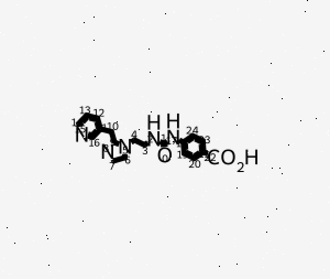 O=C(NCCN1CCN=C1Cc1cccnc1)Nc1ccc(C(=O)O)cc1